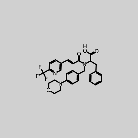 O=C(O)C(Cc1ccccc1)N(Cc1ccc(N2CCOCC2)cc1)C(=O)C=Cc1ccc(C(F)(F)F)nc1